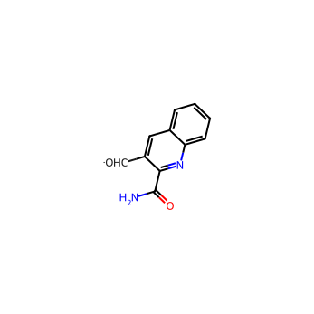 NC(=O)c1nc2ccccc2cc1[C]=O